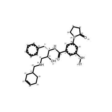 CCNc1cc(C(=O)N[C@@H](Cc2ccccc2)[C@@H](O)CNCC2CC=CCC2)cc(N2CCCC2=O)c1